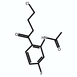 CC(=O)Nc1cc(F)ccc1C(=O)CCCCl